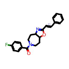 O=C(c1ccc(F)cc1)N1CCC2N=C(/C=C/c3ccccc3)OC2CC1